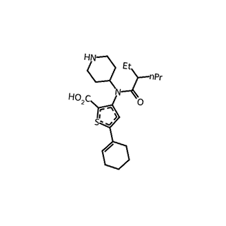 CCCC(CC)C(=O)N(c1cc(C2=CCCCC2)sc1C(=O)O)C1CCNCC1